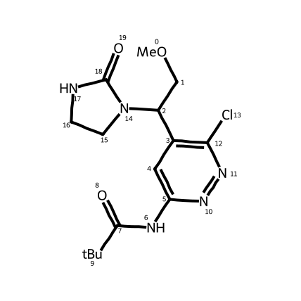 COCC(c1cc(NC(=O)C(C)(C)C)nnc1Cl)N1CCNC1=O